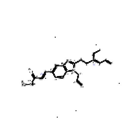 C=C/C=C(\CC)CCc1nc2cc(/C=C/C(=O)NO)ccc2n1CC=C